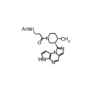 CC(=O)NCCC(=O)N1CC[C@@H](C)[C@@H](c2ncc3cnc4[nH]ccc4n23)C1